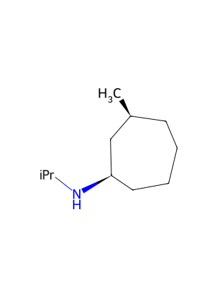 CC(C)N[C@@H]1CCCC[C@H](C)C1